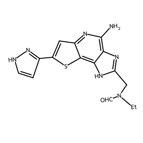 CCN(C=O)Cc1nc2c(N)nc3cc(-c4cc[nH]n4)sc3c2[nH]1